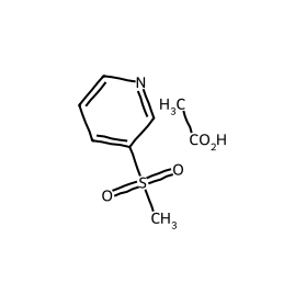 CC(=O)O.CS(=O)(=O)c1cccnc1